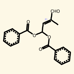 C/C(C=O)=C\C(OC(=O)c1ccccc1)OC(=O)c1ccccc1